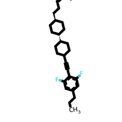 C=CCC[C@H]1CC[C@H](C2CCC(C#Cc3c(F)cc(CCC)cc3F)CC2)CC1